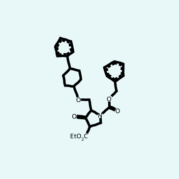 CCOC(=O)C1CN(C(=O)OCc2ccccc2)C(COC2CCC(c3ccccc3)CC2)C1=O